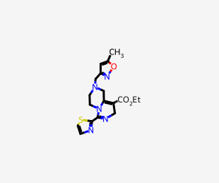 CCOC(=O)C1=C2CN(Cc3cc(C)on3)CCN2C(c2nccs2)=NC1